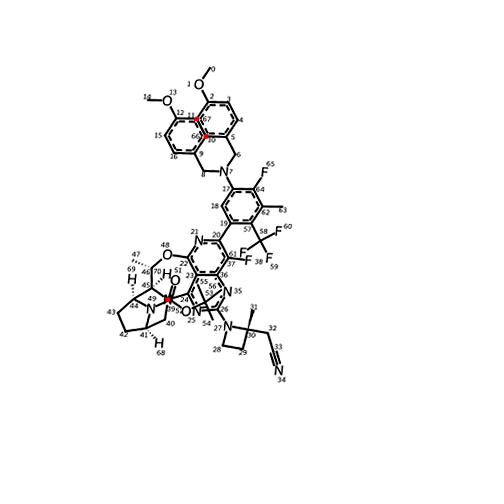 COc1ccc(CN(Cc2ccc(OC)cc2)c2cc(-c3nc4c5c(nc(N6CC[C@@]6(C)CC#N)nc5c3F)N3C[C@H]5CC[C@@H]([C@H]3[C@H](C)O4)N5C(=O)OC(C)(C)C)c(C(F)(F)F)c(C)c2F)cc1